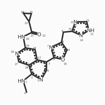 CNc1ncc(-c2nc(Cc3nc[nH]n3)co2)c2cc(NC(=O)C3CC3)ncc12